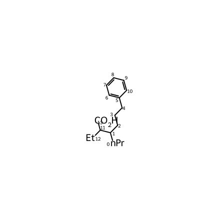 CCCC(CCCc1ccccc1)C(CC)C(=O)O